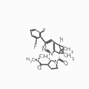 CN(C)C(=O)C1CCN(C(=O)[C@]23CC[C@H](c4cc(-c5c(F)cccc5F)nnc42)C3(C)C)C1